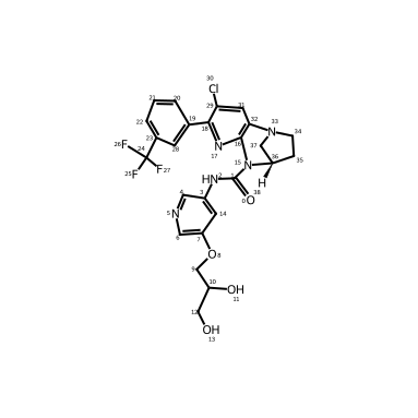 O=C(Nc1cncc(OCC(O)CO)c1)N1c2nc(-c3cccc(C(F)(F)F)c3)c(Cl)cc2N2CC[C@H]1C2